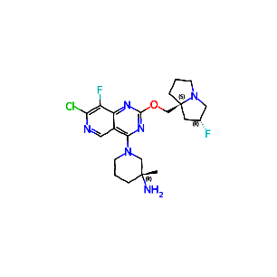 C[C@@]1(N)CCCN(c2nc(OC[C@@]34CCCN3C[C@H](F)C4)nc3c(F)c(Cl)ncc23)C1